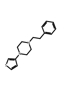 c1ccc(CCN2CCN(c3ccsc3)CC2)cc1